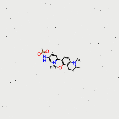 CCCOc1c(-c2ccc(NS(C)(=O)=O)cn2)ccc2c1CCC(C)N2C(C)=O